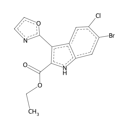 CCOC(=O)c1[nH]c2cc(Br)c(Cl)cc2c1-c1ncco1